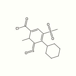 CC1C(C(=O)Cl)=CC(S(C)(=O)=O)=C(C2CCCCC2)C1=S=O